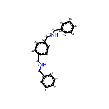 c1ccc(CNCc2ccc(CNCc3ccccc3)cc2)cc1